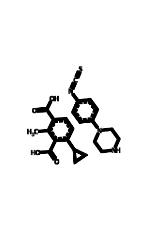 Cc1c(C(=O)O)ccc(C2CC2)c1C(=O)O.S=C=Nc1ccc(N2CCNCC2)cc1